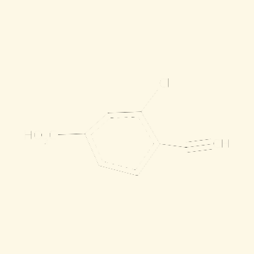 C#Cc1ccc(C(=O)O)cc1Cl